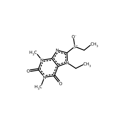 CCn1c([S+]([O-])CC)nc2c1c(=O)n(C)c(=O)n2C